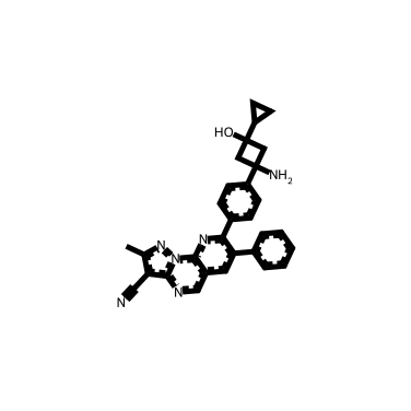 Cc1nn2c(ncc3cc(-c4ccccc4)c(-c4ccc(C5(N)CC(O)(C6CC6)C5)cc4)nc32)c1C#N